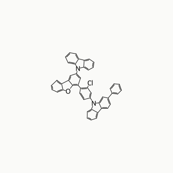 Clc1cc(-n2c3ccccc3c3ccc(-c4ccccc4)cc32)ccc1-c1cc(-n2c3ccccc3c3ccccc32)cc2c1oc1ccccc12